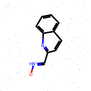 [O-][NH+]=Cc1ccc2ccccc2n1